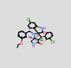 CCOc1cccc(CN2[C@H]3CNC(=O)[C@H]3[C@H](c3cccc(Cl)c3F)[C@]23C(=O)Nc2cc(Cl)ccc23)c1